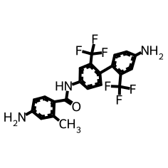 Cc1cc(N)ccc1C(=O)Nc1ccc(-c2ccc(N)cc2C(F)(F)F)c(C(F)(F)F)c1